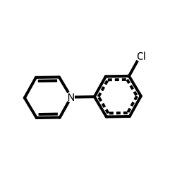 Clc1cccc(N2C=CCC=C2)c1